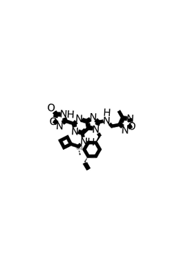 C=C[C@H]1CC[C@H](Cn2c(NCc3nonc3C)nc3nc(-c4noc(=O)[nH]4)nc(N[C@H](C)C4CCC4)c32)CC1